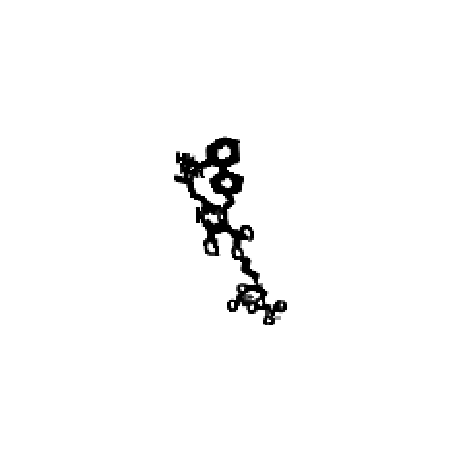 CCCCc1nc(Cl)c(C(=O)OCCC[C@H](CO[N+](=O)[O-])O[N+](=O)[O-])n1Cc1ccc(-c2ccccc2-c2nnn[nH]2)cc1